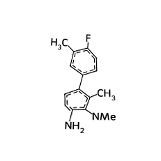 CNc1c(N)ccc(-c2ccc(F)c(C)c2)c1C